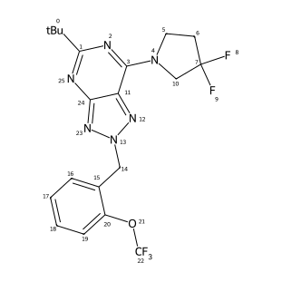 CC(C)(C)c1nc(N2CCC(F)(F)C2)c2nn(Cc3ccccc3OC(F)(F)F)nc2n1